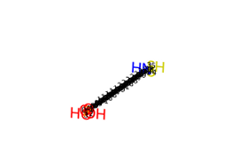 O=P(O)(O)OCCCCCCCCCCCCCCCCCCCCCCCCCCCNC(=S)S